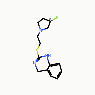 F[C@@H]1CCN(CCSC2=NCc3ccccc3N2)C1